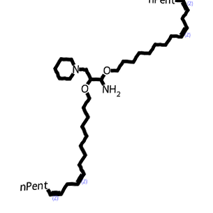 CCCCC/C=C\C/C=C\CCCCCCCCOC(N)C(CN1CCCCC1)OCCCCCCCC/C=C\C/C=C\CCCCC